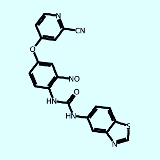 N#Cc1cc(Oc2ccc(NC(=O)Nc3ccc4scnc4c3)c(N=O)c2)ccn1